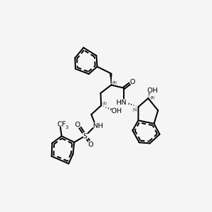 O=C(N[C@H]1c2ccccc2C[C@H]1O)[C@H](Cc1ccccc1)C[C@H](O)CNS(=O)(=O)c1ccccc1C(F)(F)F